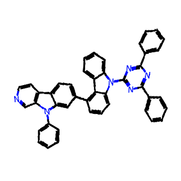 c1ccc(-c2nc(-c3ccccc3)nc(-n3c4ccccc4c4c(-c5ccc6c7ccncc7n(-c7ccccc7)c6c5)cccc43)n2)cc1